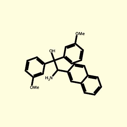 COc1cccc(C(O)(c2cccc(OC)c2)C(N)c2ccc3ccccc3c2)c1